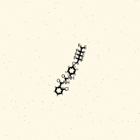 O=C(NC(=O)c1ccccc1Cl)Nc1ccc(OCC(F)(F)C(F)(F)C(F)(F)C(F)F)cc1